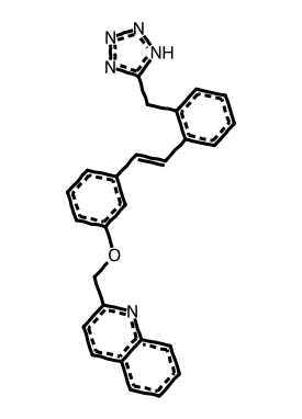 C(=Cc1ccccc1Cc1nnn[nH]1)c1cccc(OCc2ccc3ccccc3n2)c1